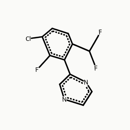 Fc1c(Cl)ccc(C(F)F)c1-c1cnccn1